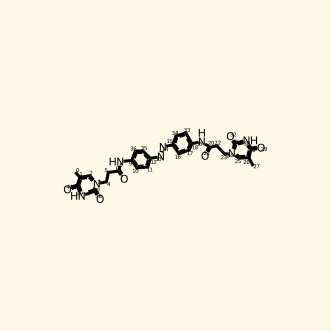 Cc1cn(CCC(=O)Nc2ccc(/N=N/c3ccc(NC(=O)CCn4cc(C)c(=O)[nH]c4=O)cc3)cc2)c(=O)[nH]c1=O